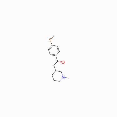 CSc1ccc(C(=O)CC2CCCN(C)C2)cc1